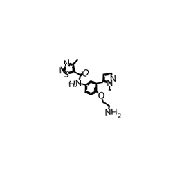 Cc1nnsc1C(=O)Nc1ccc(OCCN)c(-c2ccnn2C)c1